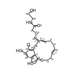 O=C(CO/N=C1\C=C\CC/C=C/CCOC(=O)c2c(O)cc(O)c(Cl)c2C1)NCCO